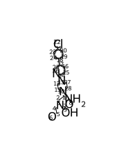 NC(CN(CC=O)C(=O)O)N1CCN(c2ccc(-c3ccc(Cl)cc3)cn2)CC1